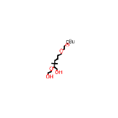 CCCCOCCOCCCCC(C)(C)C(CO)OCCO